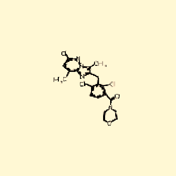 Cc1cc(Cl)nn2c(C)c(Cc3c(Cl)ccc(C(=O)N4CCOCC4)c3Cl)nc12